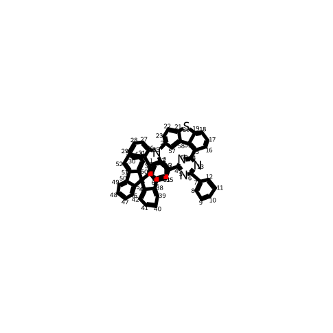 c1ccc(-c2nc(-c3ccccc3)nc(-c3cccc4sc5ccc(-n6c7ccccc7c7c8c(ccc76)-c6ccccc6C86c7ccccc7-c7ccccc76)cc5c34)n2)cc1